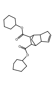 O=C(OC1CCCCC1)C1C2CC(C3CC=CC32)C1C(=O)OC1CCCCC1